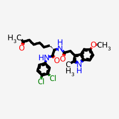 COc1ccc2[nH]c(C)c(CC(=O)N[C@@H](CCCCCC(C)=O)C(=O)Nc3ccc(Cl)c(Cl)c3)c2c1